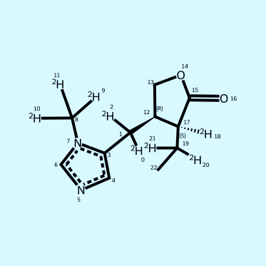 [2H]C([2H])(c1cncn1C([2H])([2H])[2H])[C@H]1COC(=O)[C@@]1([2H])C([2H])([2H])C